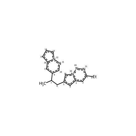 CCc1cc2cc(CC(C)c3cnn4cccc4c3)cn2nn1